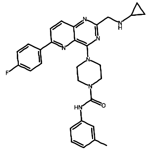 Cc1cccc(NC(=O)N2CCN(c3nc(CNC4CC4)nc4ccc(-c5ccc(F)cc5)nc34)CC2)c1